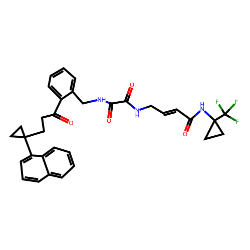 O=C(/C=C/CNC(=O)C(=O)NCc1ccccc1C(=O)CCC1(c2cccc3ccccc23)CC1)NC1(C(F)(F)F)CC1